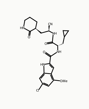 COc1cc(Cl)cc2[nH]c(C(=O)N[C@@H](CC3CC3)C(=O)N[C@H](C#N)C[C@@H]3CCCNC3=O)cc12